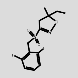 CCC1(C)CC(S(=O)(=O)Cc2c(F)cccc2F)=NO1